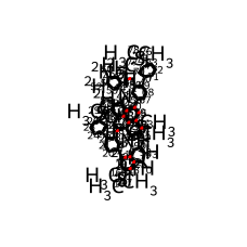 [2H]c1c([2H])c([2H])c(N(c2c(-c3cccc([Si](C)(C)C)c3)ccc(-c3cccc([Si](C)(C)C)c3)c2F)c2ccc3ccc4c(N(c5c([2H])c([2H])c([2H])c([2H])c5[2H])c5c(-c6cccc([Si](C)(C)C)c6)ccc(-c6cccc([Si](C)(C)C)c6)c5F)ccc5ccc2c3c54)c([2H])c1[2H]